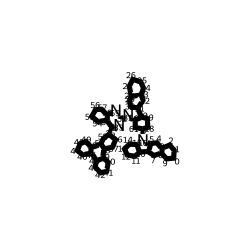 c1ccc2cc3c(cc2c1)c1ccccc1n3-c1ccc2c3cc4ccccc4cc3n(-c3nc(-c4ccc5c6ccccc6c6ccccc6c5c4)c4ccccc4n3)c2c1